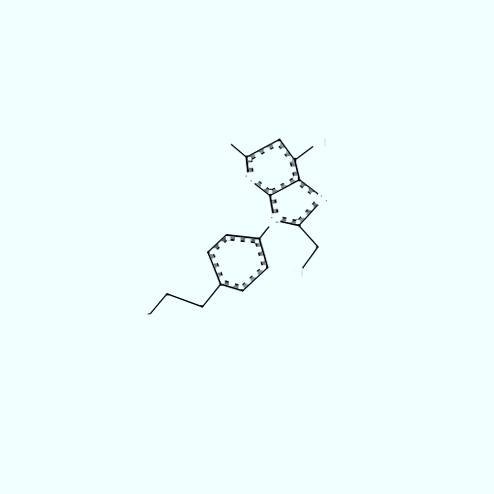 Cc1cc(C)c2nc(CC(C)(C)C)n(-c3ccc(CCCl)cc3)c2n1